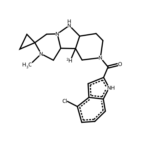 [2H]C12CN(C(=O)c3cc4c(Cl)cccc4[nH]3)CCC1NN1CC3(CC3)N(C)CC12